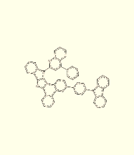 c1ccc(-c2cc(-n3c4ccccc4c4nc5c6ccccc6c6cc(-c7ccc(-n8c9ccccc9c9ccccc98)cc7)ccc6n5c43)nc3ccccc23)cc1